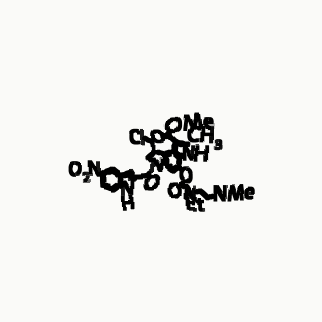 CCN(CCNC)C(=O)Oc1cc2c(c3c(C(=O)OC)c(C)[nH]c13)[C@H](CCl)CN2C(=O)c1cc2cc([N+](=O)[O-])ccc2[nH]1